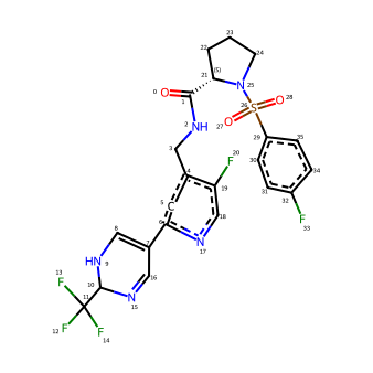 O=C(NCc1cc(C2=CNC(C(F)(F)F)N=C2)ncc1F)[C@@H]1CCCN1S(=O)(=O)c1ccc(F)cc1